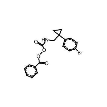 O=C(NCC1(c2ccc(Br)cc2)CC1)OOC(=O)c1ccccc1